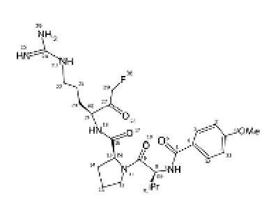 COc1ccc(C(=O)N[C@H](C(=O)N2CCC[C@H]2C(=O)N[C@@H](CCCNC(=N)N)C(=O)CF)C(C)C)cc1